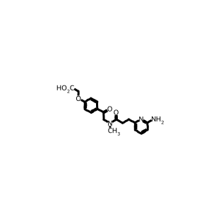 CN(CC(=O)c1ccc(OCC(=O)O)cc1)C(=O)CCc1cccc(N)n1